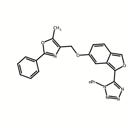 CCCn1nnnc1-c1occ2ccc(OCc3nc(-c4ccccc4)oc3C)cc12